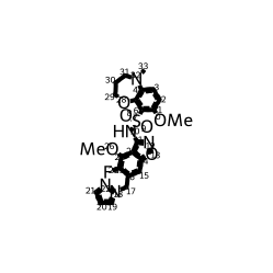 COc1ccc2c(c1S(=O)(=O)Nc1noc3cc(Cn4cccn4)c(F)c(OC)c13)OCCCN2C